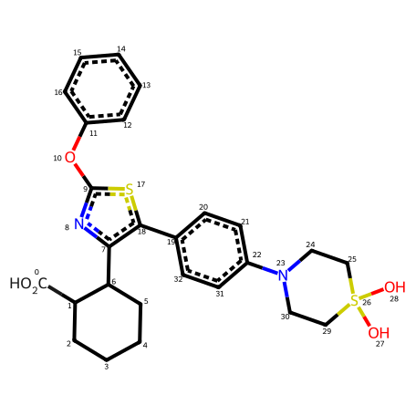 O=C(O)C1CCCCC1c1nc(Oc2ccccc2)sc1-c1ccc(N2CCS(O)(O)CC2)cc1